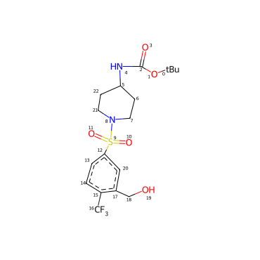 CC(C)(C)OC(=O)NC1CCN(S(=O)(=O)c2ccc(C(F)(F)F)c(CO)c2)CC1